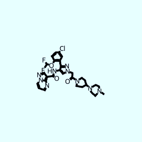 CN1CCN(C2CCN(C(=O)Cn3cc(NC(=O)c4cnn5cccnc45)c(-c4cc(Cl)ccc4OC(F)F)n3)CC2)CC1